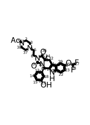 CC(=O)N1CCN(CCN2C(=O)N3[C@H](c4cccc(O)c4)c4[nH]c5ccc(OC(F)F)cc5c4C[C@@]3(C)C2=O)CC1